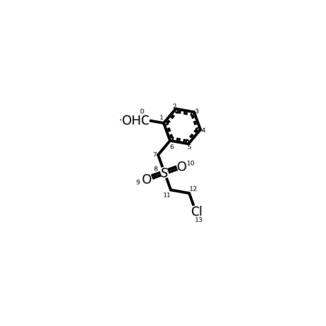 O=[C]c1ccccc1CS(=O)(=O)CCCl